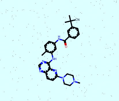 Cc1ccc(NC(=O)c2cccc(C(C)(C)C#N)c2)cc1Nc1ncnc2ccc(N3CCN(C)CC3)nc12